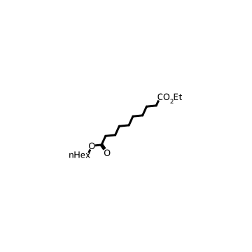 CCCCCCOC(=O)CCCCCCCCC(=O)OCC